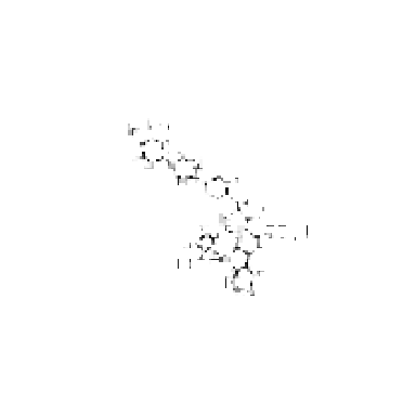 CCCCCCCOc1ccc(-c2cnc(-c3ccc(C[C@H](NC(=O)c4ccc(C(C)(C)C)s4)C(=O)NC(Cc4c[nH]c5ncccc45)C(=O)O)cc3)nc2)cc1